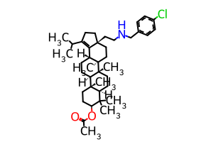 CC(=O)O[C@H]1CC[C@]2(C)[C@H]3CC[C@@H]4C5=C(C(C)C)CC[C@]5(CCNCc5ccc(Cl)cc5)CC[C@@]4(C)[C@]3(C)CC[C@H]2C1(C)C